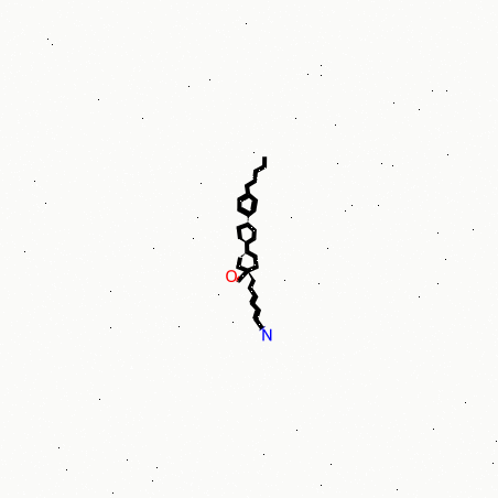 CCCCCc1ccc([C@H]2CC[C@H]([C@H]3CC[C@](C=O)(CCC=CC=CC#N)CC3)CC2)cc1